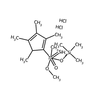 C[O][Ti]([CH3])(=[O])(=[SiH2])([O][Si](C)(C)C)[C]1=C(C)C(C)=C(C)C1C.Cl.Cl